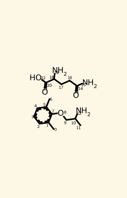 Cc1cccc(C)c1OCC(C)N.NC(=O)CCC(N)C(=O)O